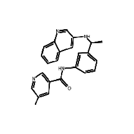 Cc1cncc(C(=O)Nc2cccc([C@H](C)Nc3cnc4ccccc4c3)c2)c1